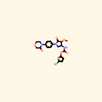 COC1C(=O)N(c2ccc(N3CCOCC3=O)cc2)CC1NC(=O)Oc1ccc(Br)s1